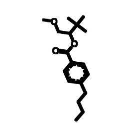 CCCCc1ccc(C(=O)OC(COC)C(C)(C)C)cc1